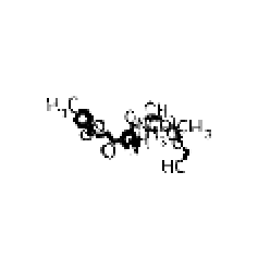 C#CCOCC(C)(C)COCC(C)(C)CNC(=O)c1cncc(C(=O)CCS(=O)(=O)c2ccc(C)cc2)c1